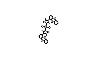 COC1C(c2[nH]c(C)c(-c3cccc4c3Sc3ccccc3S4)c2C)C(OC)C1c1[nH]c(C)c(-c2cccc3c2Sc2ccccc2S3)c1C